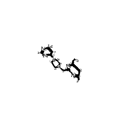 Cc1cc(C)nc(CN2CCN(c3ccn[c]n3)CC2)n1